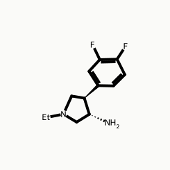 CCN1C[C@@H](N)[C@H](c2ccc(F)c(F)c2)C1